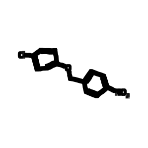 O=[N+]([O-])c1ccc(COc2ccc(Cl)cc2)cc1